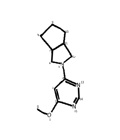 COc1cc(N2CC3C[CH]CC3C2)ncn1